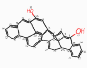 OC1=C2C=CC23C2C=c4cc(O)c5cc6ccccc6c6ccc(c4c56)C2=CCC3c2ccccc21